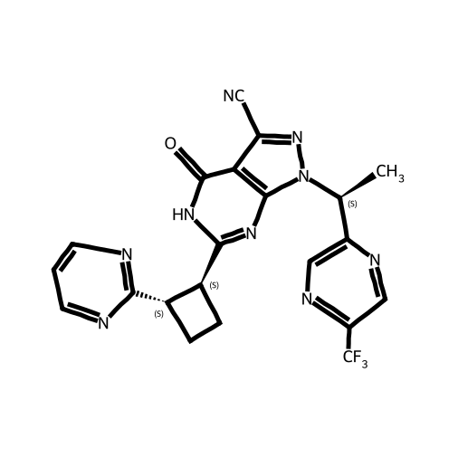 C[C@@H](c1cnc(C(F)(F)F)cn1)n1nc(C#N)c2c(=O)[nH]c([C@H]3CC[C@@H]3c3ncccn3)nc21